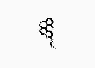 O=c1ncn2nc(OCC(F)(F)F)ccc2c1-c1c(Cl)cccc1Cl